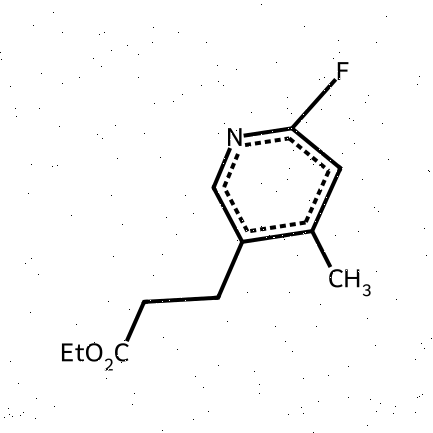 CCOC(=O)CCc1cnc(F)cc1C